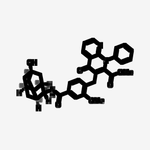 COC(=O)c1c(Cc2ccc(C(=O)N[C@H]3[C@@H]4C[C@H]5C[C@H]3C[C@](O)(C5)C4)cc2OC)c(=O)c2cccnc2n1-c1ccccc1